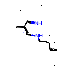 C=CCCN/C=C(/C)C=N